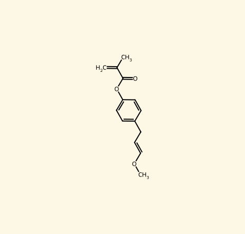 C=C(C)C(=O)Oc1ccc(CC=COC)cc1